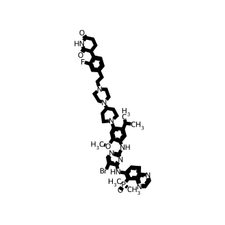 COc1cc(N2CCC(N3CCN(CCc4ccc(C5CCC(=O)NC5=O)c(F)c4)CC3)CC2)c(C(C)C)cc1Nc1ncc(Br)c(Nc2ccc3nccnc3c2P(C)(C)=O)n1